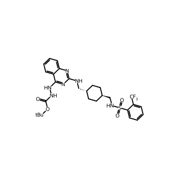 CC(C)(C)OC(=O)NNc1nc(NC[C@H]2CC[C@H](CNS(=O)(=O)c3ccccc3C(F)(F)F)CC2)nc2ccccc12